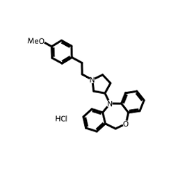 COc1ccc(CCN2CCC(N3c4ccccc4COc4ccccc43)C2)cc1.Cl